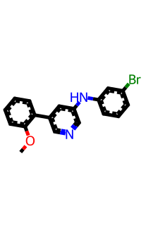 COc1ccccc1-c1cncc(Nc2cccc(Br)c2)c1